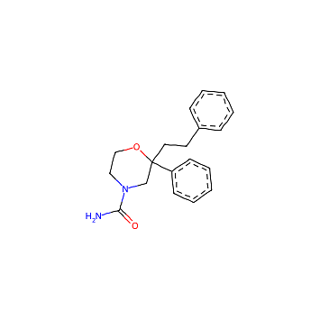 NC(=O)N1CCOC(CCc2ccccc2)(c2ccccc2)C1